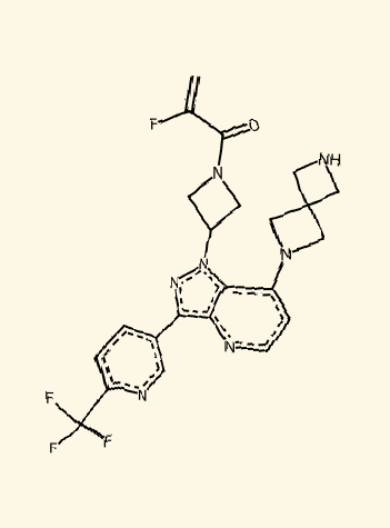 C=C(F)C(=O)N1CC(n2nc(-c3ccc(C(F)(F)F)nc3)c3nccc(N4CC5(CNC5)C4)c32)C1